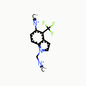 [C-]#[N+]Cn1ccc2c(C(F)(F)F)c([N+]#[C-])ccc21